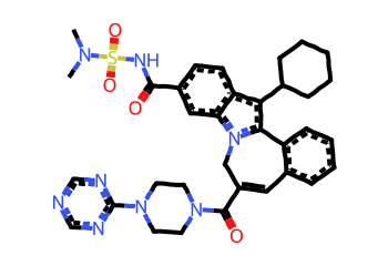 CN(C)S(=O)(=O)NC(=O)c1ccc2c(C3CCCCC3)c3n(c2c1)CC(C(=O)N1CCN(c2ncncn2)CC1)=Cc1ccccc1-3